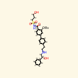 CC(C)COc1cc(-c2ccc(CCNC[C@H](O)c3ccccc3)cc2)ccc1C(=O)NS(=O)(=O)CCCO